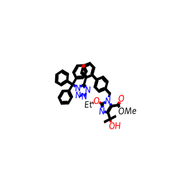 CCOc1nc(C(C)(C)O)c(C(=O)OC)n1Cc1ccc(-c2ccccc2-c2nnnn2C(c2ccccc2)(c2ccccc2)c2ccccc2)cc1